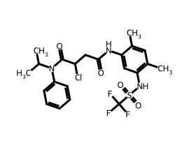 Cc1cc(C)c(NS(=O)(=O)C(F)(F)F)cc1NC(=O)CC(Cl)C(=O)N(c1ccccc1)C(C)C